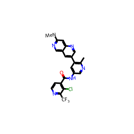 CNc1cc2ncc(-c3cc(NC(=O)c4ccnc(C(F)(F)F)c4Cl)cnc3C)cc2cn1